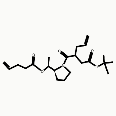 C=CCCC(=O)O[C@@H](C)[C@@H]1CCCN1C(=O)C(CC=C)CC(=O)OC(C)(C)C